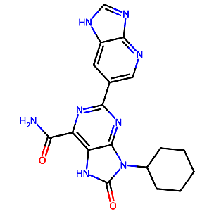 NC(=O)c1nc(-c2cnc3nc[nH]c3c2)nc2c1[nH]c(=O)n2C1CCCCC1